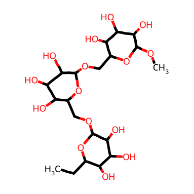 CCC1OC(OCC2OC(OCC3OC(OC)C(O)C(O)C3O)C(O)C(O)C2O)C(O)C(O)C1O